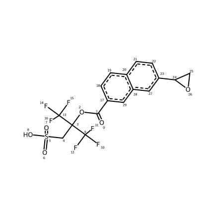 O=C(OC(CS(=O)(=O)O)(C(F)(F)F)C(F)(F)F)c1ccc2ccc(C3CO3)cc2c1